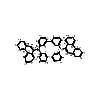 c1ccc(N(c2cccc(-c3cccc(N(c4ccccc4)c4cc5ccccc5c5ccccc45)c3)c2)c2cc3ccccc3c3ccccc23)cc1